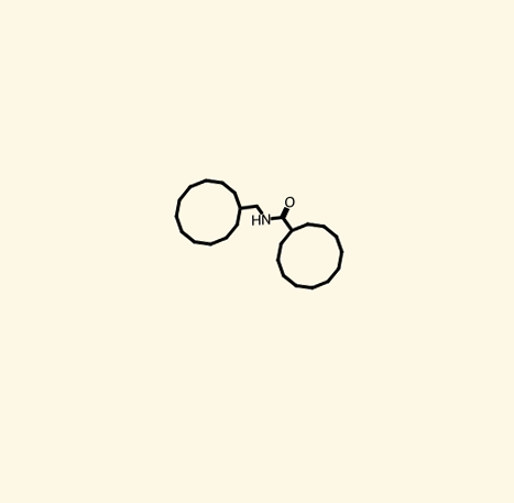 O=C(NCC1CCCCCCCCCCC1)C1CCCCCCCCCCC1